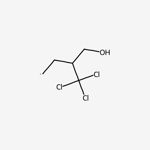 [CH2]CC(CO)C(Cl)(Cl)Cl